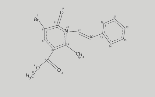 COC(=O)c1cc(Br)c(=O)n(C=Cc2ccccc2)c1C